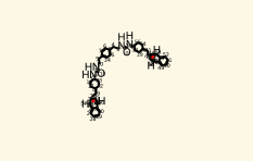 O=C(NCCc1ccc(CCNC(=O)NC2CCC(CCN3[C@@H]4CC[C@H]3c3ccccc34)CC2)cc1)NC1CCC(CCN2[C@@H]3CC[C@H]2c2ccccc23)CC1